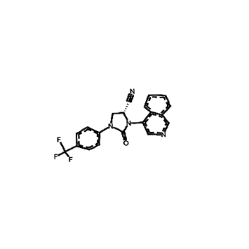 N#C[C@H]1CN(c2ccc(C(F)(F)F)cc2)C(=O)N1c1cncc2ccccc12